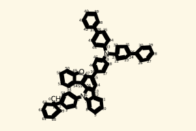 CC1(c2ccc(-n3c4ccccc4c4cc(-c5ccc(N(c6ccc(-c7ccccc7)cc6)c6ccc(-c7ccccc7)cc6)cc5)c5oc6ccccc6c5c43)cc2)C=CC=CC1